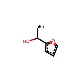 CCCCC(O)c1ccco1